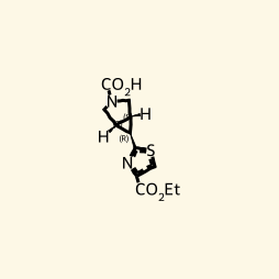 CCOC(=O)c1csc([C@H]2[C@@H]3CN(C(=O)O)C[C@@H]32)n1